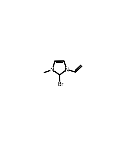 C=CN1C=CN(C)C1Br